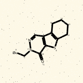 CCC(C)Cn1ncc2c3c(sc2c1=O)CCCC3